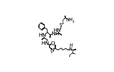 C=C(N)CCSCNC(=C)CNC(=C)C(Cc1ccccc1)NC(=C)CNC(=O)CN(C)C(=C)CCCCCNC(=C)C(C)CC